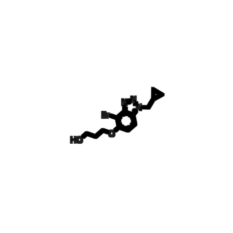 OCCCOc1ccc2c(nnn2CC2CC2)c1Br